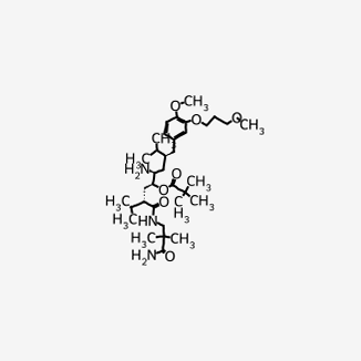 COCCCOc1cc(C[C@@H](C[C@H](N)[C@H](C[C@H](C(=O)NCC(C)(C)C(N)=O)C(C)C)OC(=O)C(C)(C)C)C(C)C)ccc1OC